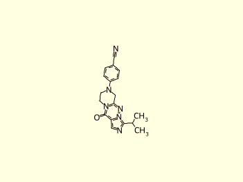 CC(C)c1ncc2c(=O)n3c(nn12)CN(c1ccc(C#N)cc1)CC3